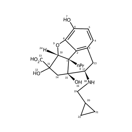 CCC[C@]12c3c4ccc(O)c3O[C@H]1C(O)(C(=O)O)C[C@@]2(O)[C@H](NCC1CC1)C4